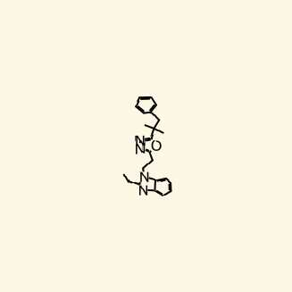 CCc1nc2ccccc2n1CCc1nnc(C(C)(C)Cc2ccccc2)o1